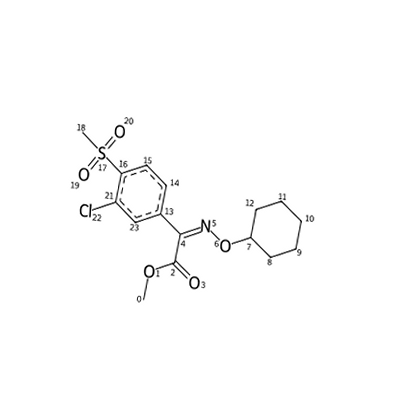 COC(=O)C(=NOC1CCCCC1)c1ccc(S(C)(=O)=O)c(Cl)c1